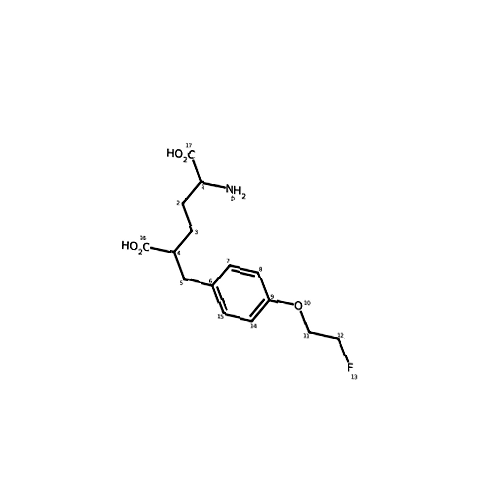 NC(CCC(Cc1ccc(OCCF)cc1)C(=O)O)C(=O)O